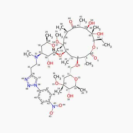 CC[C@H]1OC(=O)[C@H](C)[C@@H](OC[C@H]2C[C@@](C)(OC)[C@@H](O)[C@H](C)O2)[C@H](C)[C@@H](O[C@@H]2O[C@H](C)C[C@H](N(C)CCc3cn(-c4ccc([N+](=O)[O-])cc4)nn3)[C@H]2O)[C@](C)(OC)C[C@@H](C)C(=O)[C@H](C)[C@@H](O)[C@]1(C)O